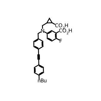 CCCCc1ccc(C#Cc2ccc(CN(CC3CC3C(=O)O)c3ccc(F)c(C(=O)O)c3)cc2)cc1